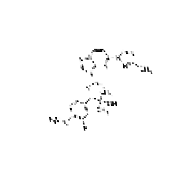 Cc1ncn(-c2ccn3ncc(C(=O)N[C@@H](c4ccc(OC(F)(F)F)c(F)c4)C(C)(C)O)c3n2)n1